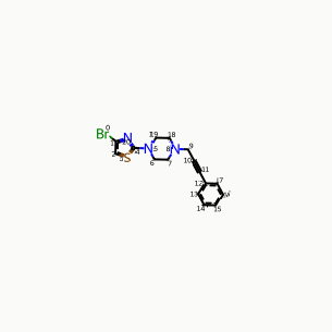 Brc1csc(N2CCN(CC#Cc3ccccc3)CC2)n1